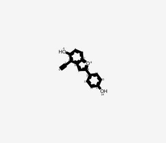 C#Cc1c(O)ccc2oc(-c3ccc(O)cc3)cc12